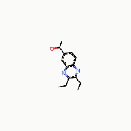 CCc1nc2ccc(C(C)=O)cc2nc1CC